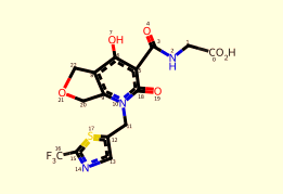 O=C(O)CNC(=O)c1c(O)c2c(n(Cc3cnc(C(F)(F)F)s3)c1=O)COC2